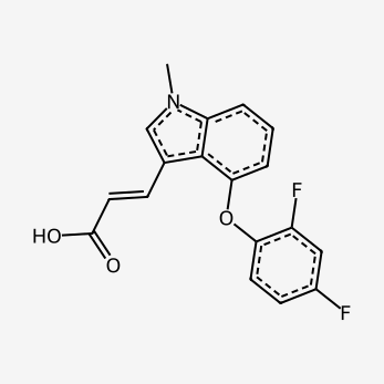 Cn1cc(C=CC(=O)O)c2c(Oc3ccc(F)cc3F)cccc21